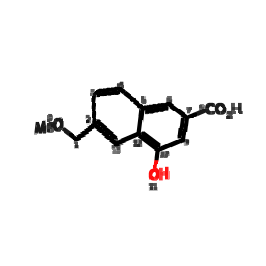 COCc1ccc2cc(C(=O)O)cc(O)c2c1